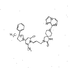 Cc1cc(N2CC[C@@](C)(c3ccccc3)C2)cc(=O)n1CCCN1CC2(CCN(c3nccn4ccnc34)CC2)NC1=O